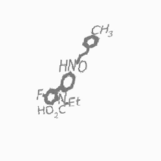 CCC(C(=O)O)n1c2c(c3cc(F)ccc31)C[C@H](NC(=O)CCc1ccc(C)cc1)CC2